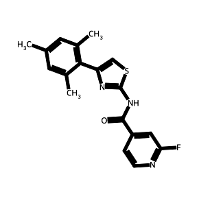 Cc1cc(C)c(-c2csc(NC(=O)c3ccnc(F)c3)n2)c(C)c1